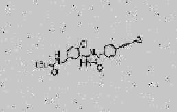 CC(C)(C)C(=O)NCc1ccc(Cl)c(-c2nn(-c3ccc(C#CC4CC4)cc3)c(=O)[nH]2)c1